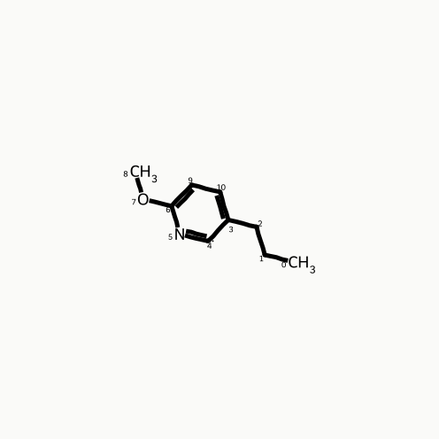 CCCc1[c]nc(OC)cc1